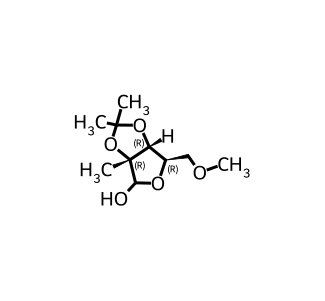 COC[C@H]1OC(O)[C@]2(C)OC(C)(C)O[C@H]12